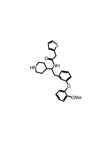 COc1ccccc1Oc1cccc(CC(NC(=O)Cc2cccs2)C2CCNCC2)c1